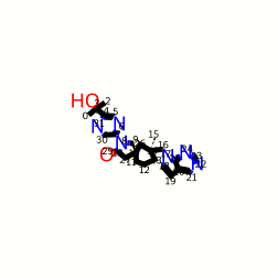 CC(C)(O)c1cnc(N2C[C@@]3(CCC[C@](C)(Cn4ccc5cncnc54)C3)CC2=O)cn1